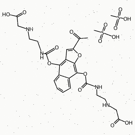 CC(=O)c1cc2c(OC(=O)NCCNCC(=O)O)c3ccccc3c(OC(=O)NCCNCC(=O)O)c2o1.CS(=O)(=O)O.CS(=O)(=O)O